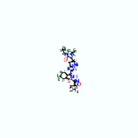 CCc1conc1C(=O)N[C@H](c1cn2ncc([C@@H](CC(F)F)C(=O)NCC(F)(F)F)cc2n1)C1CCC(F)(F)CC1